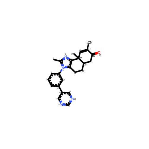 Cc1nc2c(n1-c1cccc(-c3cncnc3)c1)CCC1CC(=O)C(C#N)=CC21C